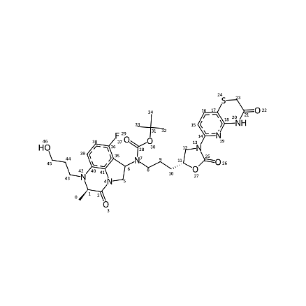 C[C@@H]1C(=O)N2CC(N(CCC[C@@H]3CN(c4ccc5c(n4)NC(=O)CS5)C(=O)O3)C(=O)OC(C)(C)C)c3c(F)ccc(c32)N1CCCO